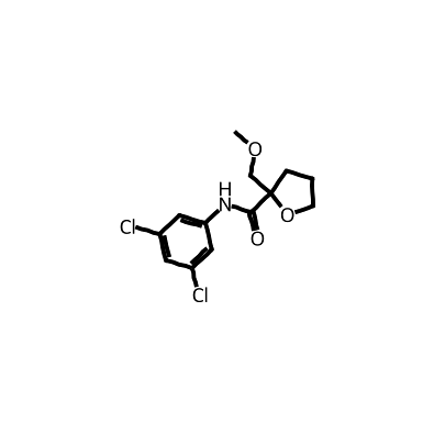 COCC1(C(=O)Nc2cc(Cl)cc(Cl)c2)CCCO1